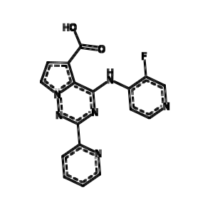 O=C(O)c1ccn2nc(-c3ccccn3)nc(Nc3ccncc3F)c12